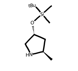 C[C@@H]1C[C@@H](O[Si](C)(C)C(C)(C)C)CN1